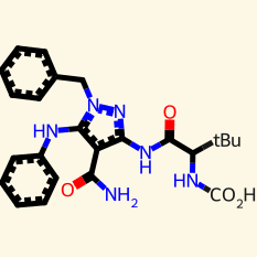 CC(C)(C)C(NC(=O)O)C(=O)Nc1nn(Cc2ccccc2)c(Nc2ccccc2)c1C(N)=O